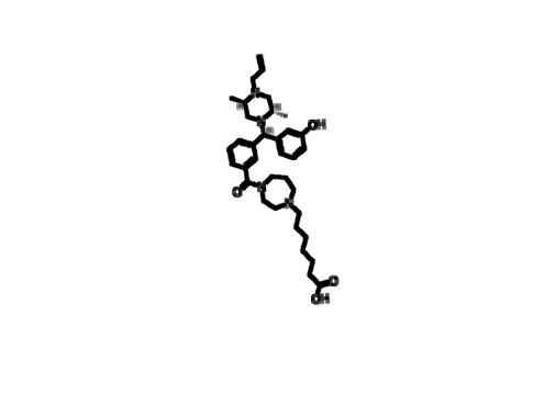 C=CCN1C[C@H](C)N([C@@H](c2cccc(O)c2)c2cccc(C(=O)N3CCCN(CCCCCCC(=O)O)CC3)c2)C[C@H]1C